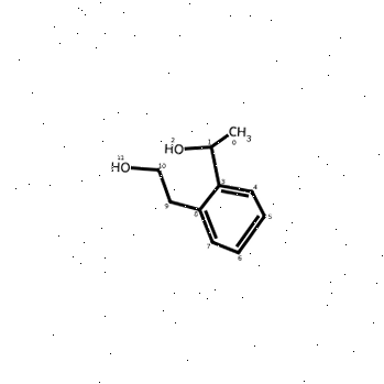 CC(O)c1ccccc1CCO